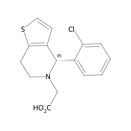 O=C(O)CN1CCc2sccc2[C@@H]1c1ccccc1Cl